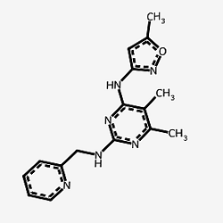 Cc1cc(Nc2nc(NCc3ccccn3)nc(C)c2C)no1